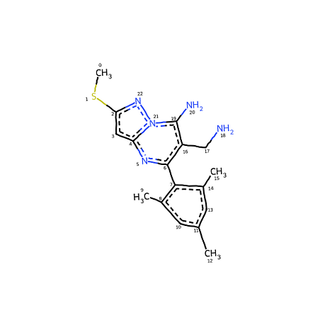 CSc1cc2nc(-c3c(C)cc(C)cc3C)c(CN)c(N)n2n1